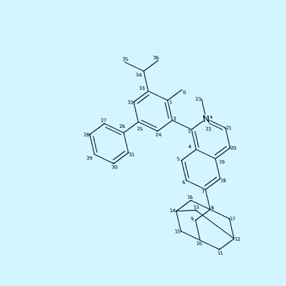 Cc1c(-c2c3ccc(C45CC6CC(CC(C6)C4)C5)cc3cc[n+]2C)cc(-c2ccccc2)cc1C(C)C